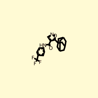 O=C(Nc1ccc(C(F)(F)F)cc1)c1cnoc1C12CC3CC(CC(C3)C1)C2